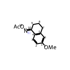 COc1ccc2c(c1)CCC/C2=N\OC(C)=O